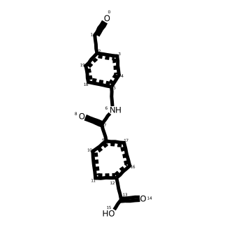 O=Cc1ccc(NC(=O)c2ccc(C(=O)O)cc2)cc1